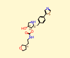 O=C(NCC[C@H]1CCOC1)O[C@@H]1[C@@H](O)CN[C@@H]1Cc1ccc(-c2cncs2)cc1